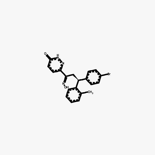 Cc1ccccc1[C@@H](C/C(=N\O)c1ccc(=O)[nH]n1)c1ccc(Br)cc1